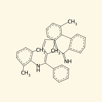 Cc1cccc(C)c1NC(=C1C=CC=C1C(=N)c1ccccc1-c1c(C)cccc1C)c1ccccc1